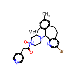 COc1cc(C)cc2c1C(N1CC[N+]([O-])(C(=O)Cc3ccncc3)CC1)c1ncc(Br)cc1CC2